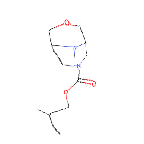 CC(C)COC(=O)N1CC2COCC(C1)N2C